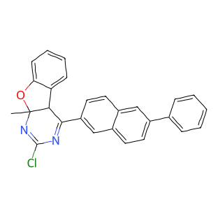 CC12N=C(Cl)N=C(c3ccc4cc(-c5ccccc5)ccc4c3)C1c1ccccc1O2